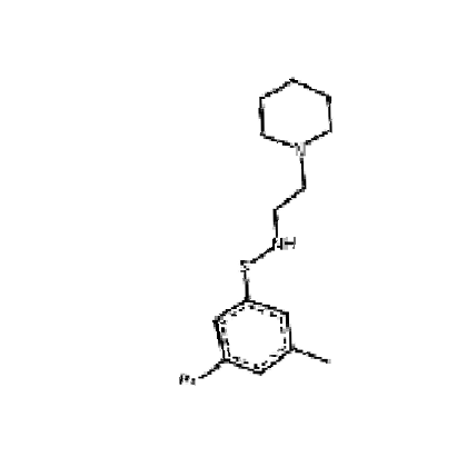 Cc1cc(Br)cc(SNCCN2CCCCC2)c1